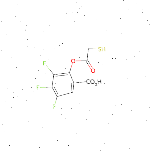 O=C(CS)Oc1c(C(=O)O)cc(F)c(F)c1F